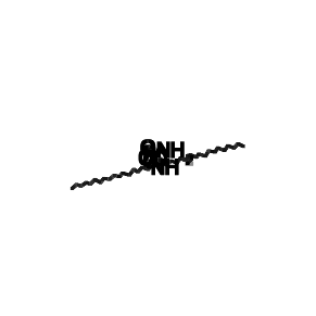 CCCCCCCCCCCCCCCCCC(=O)NC(=O)CCCCCCCCCCCCCCCCC.NC=CP(=O)=O